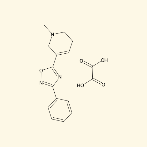 CN1CCC=C(c2nc(-c3ccccc3)no2)C1.O=C(O)C(=O)O